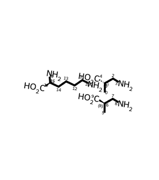 C[C@@H](CN)C(=O)O.C[C@H](CN)C(=O)O.NCCCC[C@H](N)C(=O)O